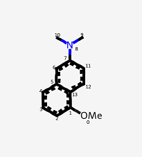 COc1cccc2cc(N(C)C)ccc12